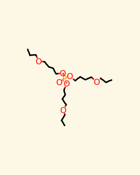 CCCOCCCCOP(=O)(OCCCCOCCC)OCCCCOCCC